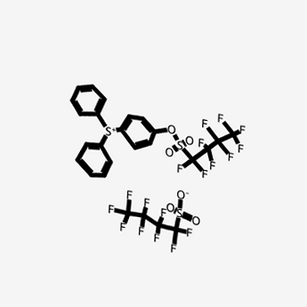 O=S(=O)(Oc1ccc([S+](c2ccccc2)c2ccccc2)cc1)C(F)(F)C(F)(F)C(F)(F)C(F)(F)F.O=S(=O)([O-])C(F)(F)C(F)(F)C(F)(F)C(F)(F)F